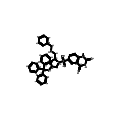 O=c1[nH]c2ccc(S(=O)(=O)N3CC(SC(c4ccccc4)(c4ccccc4)c4ccccc4)CC3COCc3ccccc3)cc2c(=O)o1